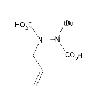 C=CCN(C(=O)O)N(C(=O)O)C(C)(C)C